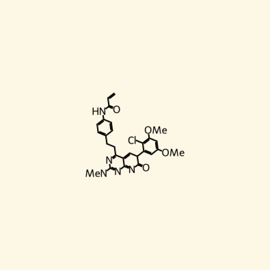 C=CC(=O)Nc1ccc(CCc2nc(NC)nc3c2=CC(c2cc(OC)cc(OC)c2Cl)C(=O)N=3)cc1